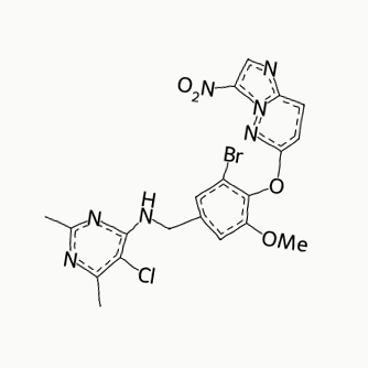 COc1cc(CNc2nc(C)nc(C)c2Cl)cc(Br)c1Oc1ccc2ncc([N+](=O)[O-])n2n1